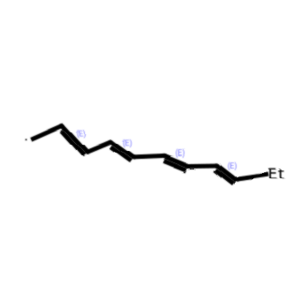 [CH2]/C=C/C=C/C=C/C=C/CC